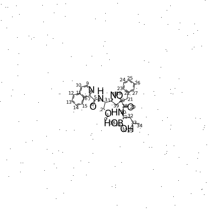 COCC(NC(=O)c1nccc2ccccc12)C1=NOC(Cc2ccccc2)(C(=O)NC(CC(C)C)B(O)O)C1